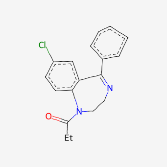 CCC(=O)N1CCN=C(c2ccccc2)c2cc(Cl)ccc21